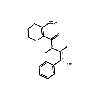 C[C@@H]([C@H](O)c1ccccc1)N(C)C(=O)C1=C(C(=O)O)SCCS1